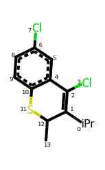 CC(C)C1=C(Cl)c2cc(Cl)ccc2SC1C